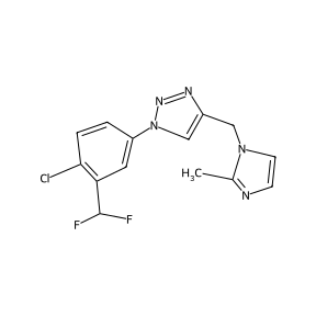 Cc1nccn1Cc1cn(-c2ccc(Cl)c(C(F)F)c2)nn1